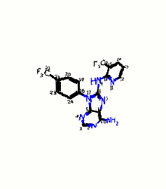 Nc1ncnc2c1nc(Nc1ncccc1C(F)(F)F)n2-c1ccc(C(F)(F)F)cc1